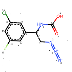 [N-]=[N+]=NCC(NC(=O)O)c1cc(F)cc(Cl)c1